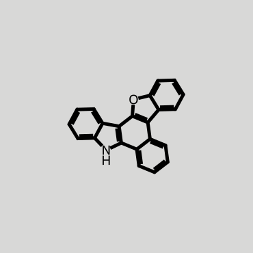 c1ccc2c(c1)[nH]c1c3ccccc3c3c4ccccc4oc3c21